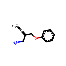 C=C=C(CN)COc1ccccc1